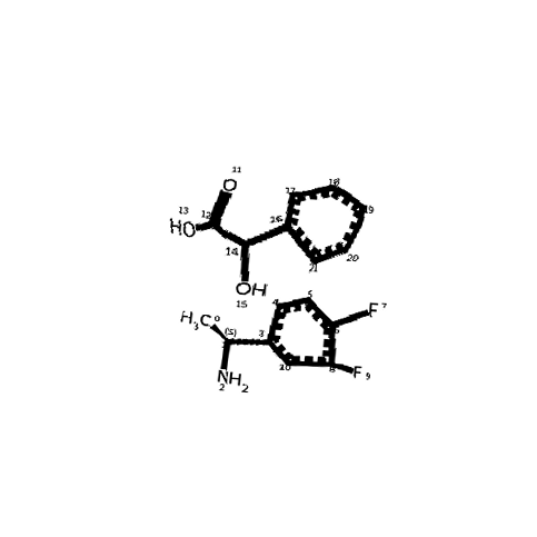 C[C@H](N)c1ccc(F)c(F)c1.O=C(O)C(O)c1ccccc1